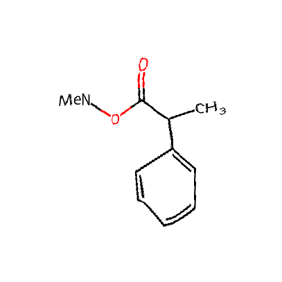 CNOC(=O)C(C)c1ccccc1